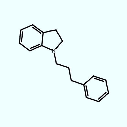 c1ccc(CCCN2CCc3ccccc32)cc1